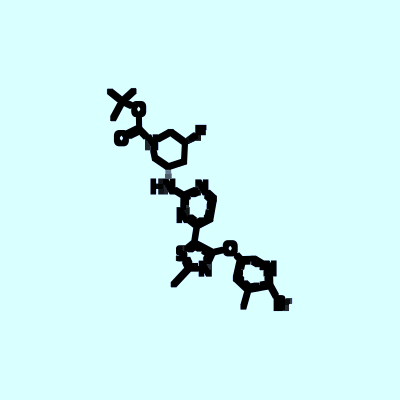 Cc1nc(Oc2cnc(Br)c(C)c2)c(-c2ccnc(N[C@H]3C[C@H](F)CN(C(=O)OC(C)(C)C)C3)n2)s1